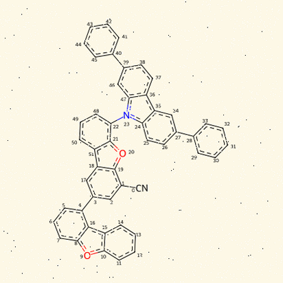 N#Cc1cc(-c2cccc3oc4ccccc4c23)cc2c1oc1c(-n3c4ccc(-c5ccccc5)cc4c4ccc(-c5ccccc5)cc43)cccc12